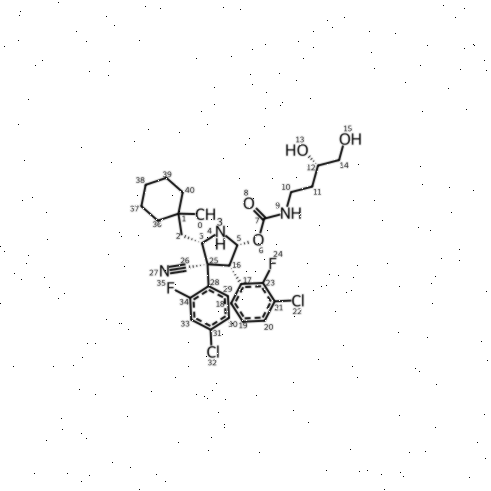 CC1(C[C@@H]2N[C@H](OC(=O)NCC[C@H](O)CO)[C@H](c3cccc(Cl)c3F)[C@@]2(C#N)c2ccc(Cl)cc2F)CCCCC1